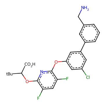 CC(C)(C)C(Oc1nc(Oc2cc(Cl)cc(-c3cccc(CN)c3)c2)c(F)cc1F)C(=O)O